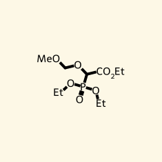 CCOC(=O)C(OCOC)P(=O)(OCC)OCC